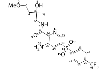 COCCC(C)(O)CNC(=O)c1ncc(S(=O)(=O)c2ccc(C(F)(F)F)cc2)cc1N